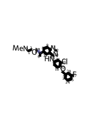 CNCCO/N=C(\C)c1ccc2ncnc(Nc3ccc(OCc4cccc(F)c4)c(Cl)c3)c2c1